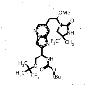 CO[C@@H](Cc1cnn2cc([C@H](COC(C)(C)C(F)(F)F)NC(=O)OC(C)(C)C)nc2c1)N1C[C@@](C)(C(F)(F)F)NC1=O